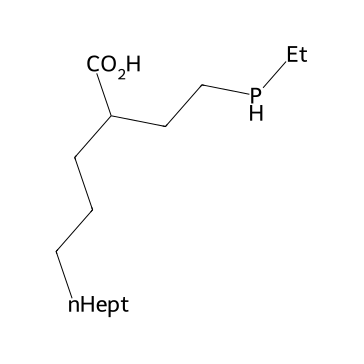 CCCCCCCCCCC(CCPCC)C(=O)O